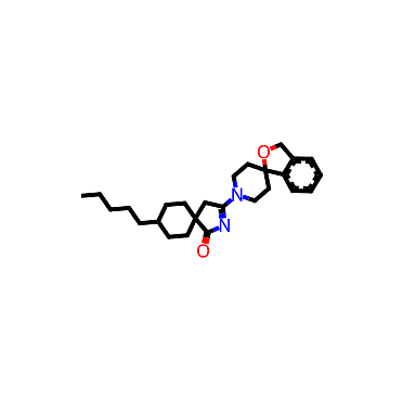 CCCCCC1CCC2(CC1)CC(N1CCC3(CC1)OCc1ccccc13)=NC2=O